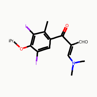 Cc1c(C(=O)C(C=O)=CN(C)C)cc(I)c(OC(C)C)c1I